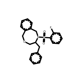 O=S(=O)(c1ccccc1F)N1Cc2ccccc2COCC1Cc1ccccc1